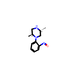 C[C@@H]1CN(c2ccccc2N=O)[C@@H](C)CN1